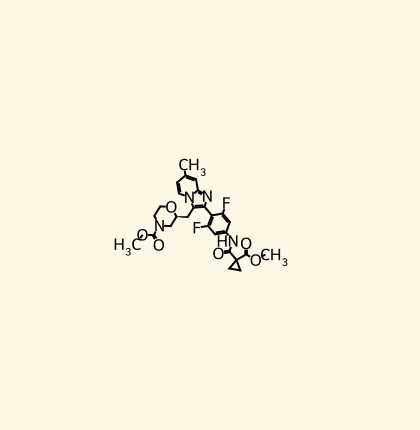 COC(=O)N1CCO[C@@H](Cc2c(-c3c(F)cc(NC(=O)C4(C(=O)OC)CC4)cc3F)nc3cc(C)ccn23)C1